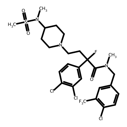 CN(Cc1ccc(Cl)c(C(F)(F)F)c1)C(=O)C(F)(CCN1CCC(N(C)S(C)(=O)=O)CC1)c1ccc(Cl)c(Cl)c1